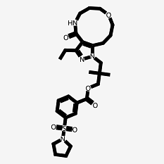 CCc1nn(CC(C)(C)COC(=O)c2cccc(S(=O)(=O)N3CCCC3)c2)c2c1C(=O)NCCCOCCC2